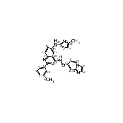 Cc1cccc(-c2nc(NOc3ccn4ccnc4c3)c3cc(Nc4nc(C)cs4)ccc3n2)c1